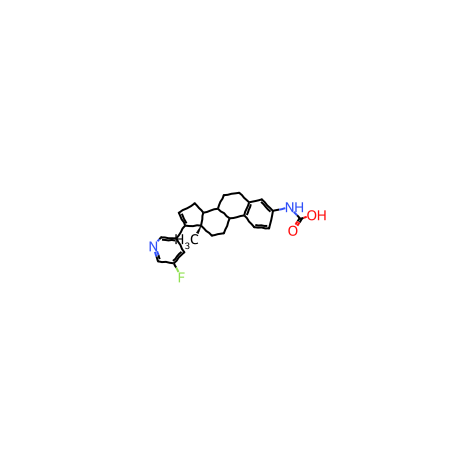 C[C@]12CCC3c4ccc(NC(=O)O)cc4CCC3C1CC=C2c1cncc(F)c1